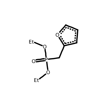 CCOP(=O)(Cc1ccco1)OCC